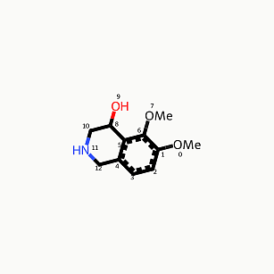 COc1ccc2c(c1OC)C(O)CNC2